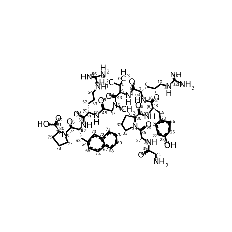 CC(C)[C@@H](NC(=O)[C@H](CCCNC(=N)N)NC(=O)[C@@H](Cc1ccc(O)cc1)NC(=O)[C@@H]1CCCN1C(=O)CNC(=O)CN)C(=O)N(C)CC(=O)N[C@@H](CCCNC(=N)N)C(=O)N[C@H](Cc1ccc2ccccc2c1)C(=O)N1CCC[C@H]1C(=O)O